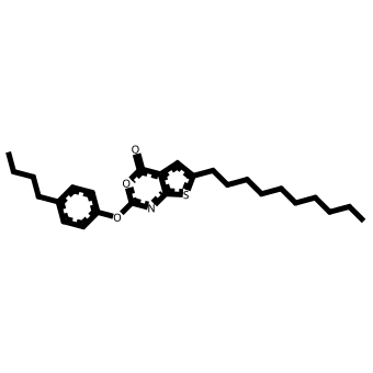 CCCCCCCCCCc1cc2c(=O)oc(Oc3ccc(CCCC)cc3)nc2s1